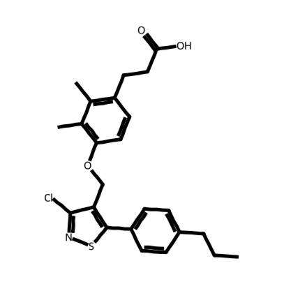 CCCc1ccc(-c2snc(Cl)c2COc2ccc(CCC(=O)O)c(C)c2C)cc1